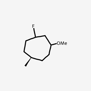 COC1CC[C@@H](C)CCC(F)C1